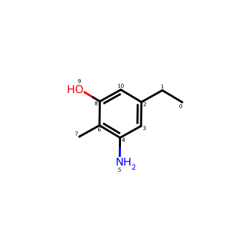 CCc1cc(N)c(C)c(O)c1